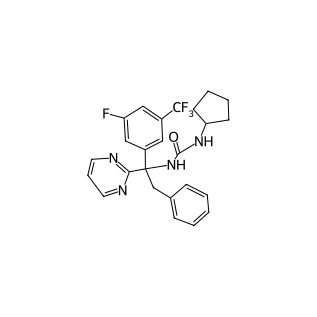 O=C(NC1CCCC1)NC(Cc1ccccc1)(c1cc(F)cc(C(F)(F)F)c1)c1ncccn1